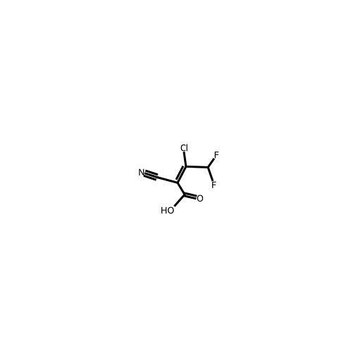 N#C/C(C(=O)O)=C(\Cl)C(F)F